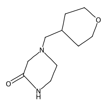 O=C1CN(CC2CCOCC2)CCN1